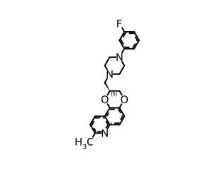 Cc1ccc2c3c(ccc2n1)OC[C@H](CN1CCN(c2cccc(F)c2)CC1)O3